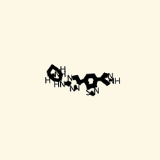 c1nc2c(-c3cn[nH]c3)ccc(-c3cnc(NC4C[C@H]5CC[C@@H](C4)N5)nn3)c2s1